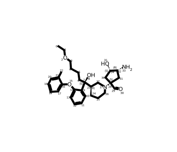 CCOCCCC[C@@](O)(c1ccccc1Oc1ccccc1C)[C@@H]1CCCN([C@@]2(C=O)C[C@@H](N)[C@@H](O)C2)C1